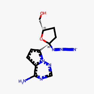 [N-]=[N+]=N[C@]1(c2ccc3c(N)ncnn23)CC[C@@H](CO)O1